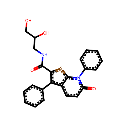 O=C(NCC(O)CO)c1sc2c(ccc(=O)n2-c2ccccc2)c1-c1ccccc1